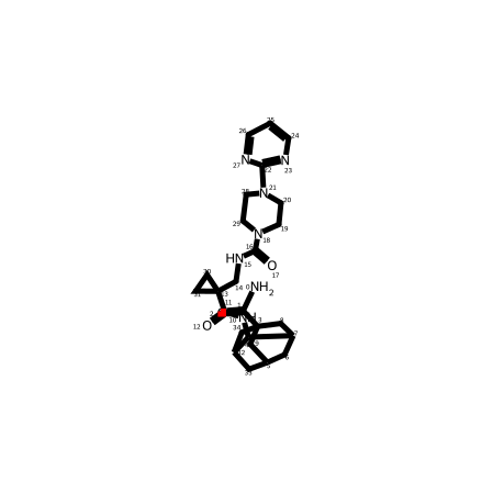 NC(=O)C12CC3CC(C1)C(NC(=O)C1(CNC(=O)N4CCN(c5ncccn5)CC4)CC1)C(C3)C2